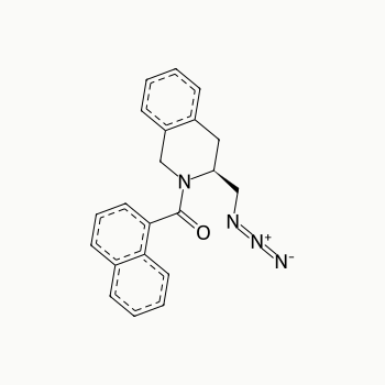 [N-]=[N+]=NC[C@@H]1Cc2ccccc2CN1C(=O)c1cccc2ccccc12